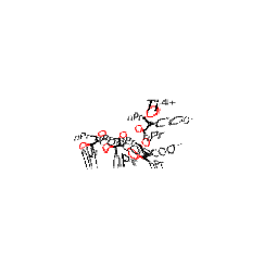 CCCC(=O)C(C(=O)[O-])C(=O)CCC.CCCC(=O)C(C(=O)[O-])C(=O)CCC.CCCC(=O)C(C(=O)[O-])C(=O)CCC.CCCC(=O)C(C(=O)[O-])C(=O)CCC.[Ti+4]